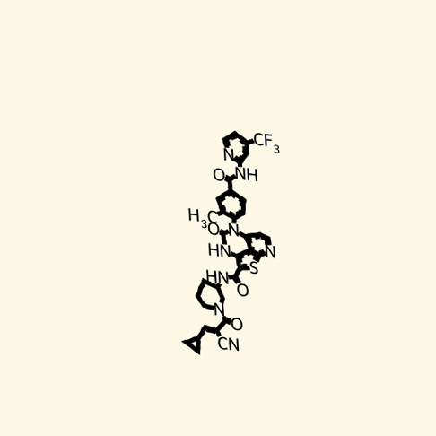 Cc1cc(C(=O)Nc2cc(C(F)(F)F)ccn2)ccc1N1C(=O)Nc2c(C(=O)NC3CCCN(C(=O)C(C#N)=CC4CC4)C3)sc3nccc1c23